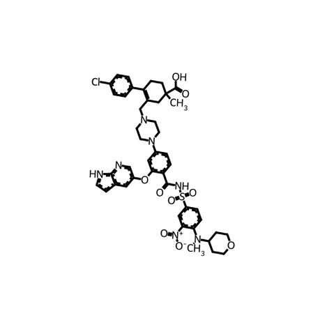 CN(c1ccc(S(=O)(=O)NC(=O)c2ccc(N3CCN(CC4=C(c5ccc(Cl)cc5)CCC(C)(C(=O)O)C4)CC3)cc2Oc2cnc3[nH]ccc3c2)cc1[N+](=O)[O-])C1CCOCC1